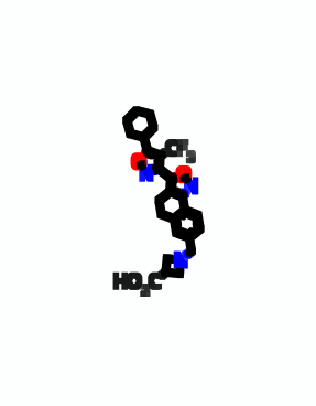 O=C(O)C1CN(Cc2ccc3c(c2)CCc2c-3noc2-c2noc(C3CCCCC3)c2C(F)(F)F)C1